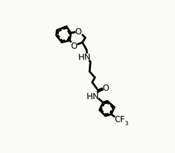 O=C(CCCCNCC1COc2ccccc2O1)Nc1ccc(C(F)(F)F)cc1